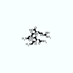 N=C(N)NCCC[C@H](NC(=O)[C@H](CC(N)=O)NC(=O)[C@H](CC(N)=O)NC(=O)CN)C(=O)O